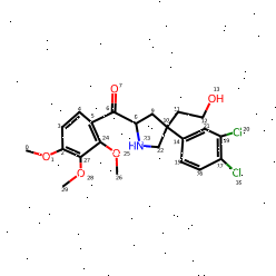 COc1ccc(C(=O)C2CC(CCO)(c3ccc(Cl)c(Cl)c3)CN2)c(OC)c1OC